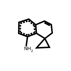 Nc1cccc2c1C1(CC=C2)CC1